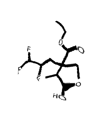 CCOC(=O)C(CC)(CC(F)C(F)F)C(C)C(=O)O